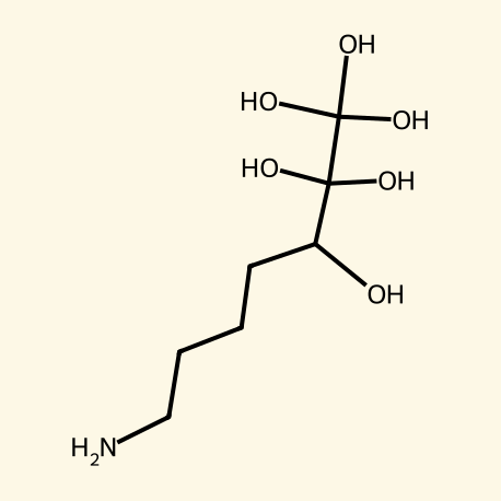 NCCCCC(O)C(O)(O)C(O)(O)O